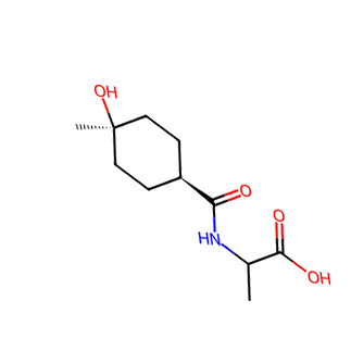 CC(NC(=O)[C@H]1CC[C@@](C)(O)CC1)C(=O)O